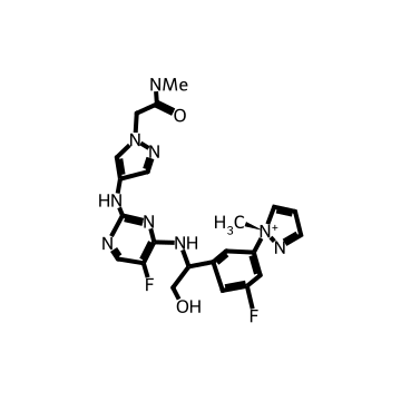 CNC(=O)Cn1cc(Nc2ncc(F)c(NC(CO)c3cc(F)cc([N@+]4(C)C=CC=N4)c3)n2)cn1